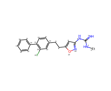 CCNC(=N)Nc1cc(CCc2ccc(-c3ccccc3)c(F)c2)on1